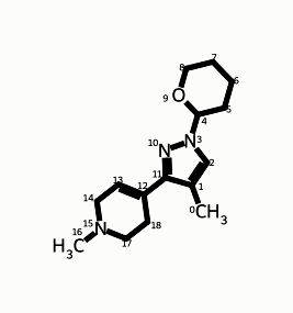 Cc1cn(C2CCCCO2)nc1C1=CCN(C)CC1